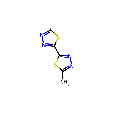 Cc1nnc(-c2nn[c]s2)s1